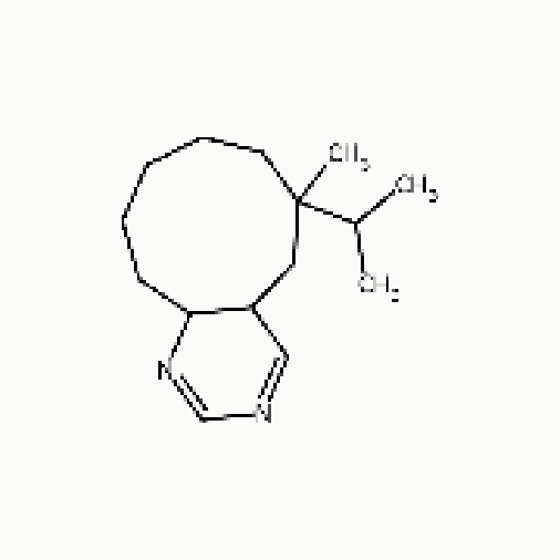 CC(C)C1(C)CCCCCC2N=CN=CC2C1